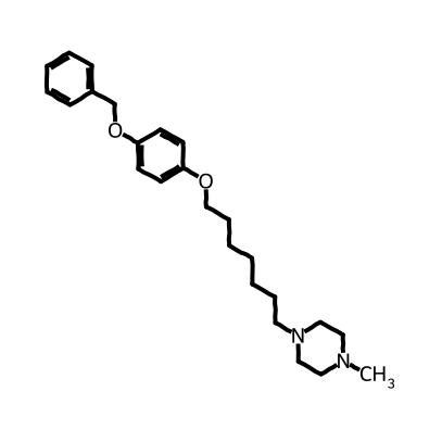 CN1CCN(CCCCCCCOc2ccc(OCc3ccccc3)cc2)CC1